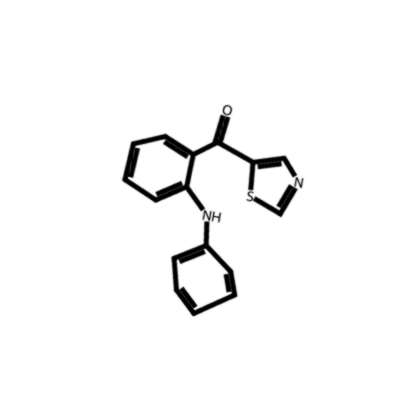 O=C(c1cncs1)c1ccccc1Nc1ccccc1